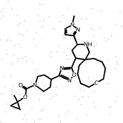 Cn1ccc(C2CC(c3nc(C4CCN(C(=O)OC5(C)CC5)CC4)no3)C3(CCCCCCCCC3)CN2)n1